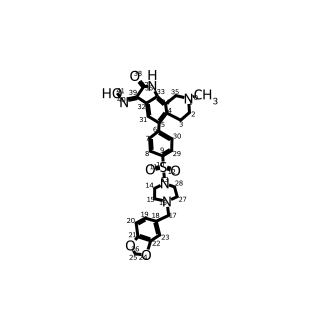 CN1CCc2c(-c3ccc(S(=O)(=O)N4CCN(Cc5ccc6c(c5)OCO6)CC4)cc3)cc3c(c2C1)NC(=O)/C3=N\O